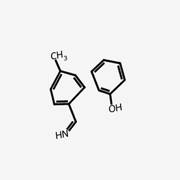 Cc1ccc(C=N)cc1.Oc1ccccc1